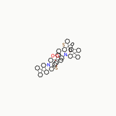 c1ccc2c(c1)Oc1ccc(N(c3cccc4c3-c3ccccc3C43c4ccccc4-c4ccccc43)c3cccc4sc5cc(-c6ccc(N(c7ccc8c(c7)C7(c9ccccc9S8)c8ccccc8-c8ccccc87)c7ccc8c(c7)C7(c9ccccc9-c9ccccc97)c7ccccc7-8)c7c6oc6ccccc67)ccc5c34)cc1C21c2ccccc2-c2ccccc21